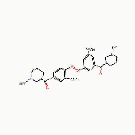 CCCN1CCCC(C(=O)c2cc(OC)cc(OOc3ccc(C(=O)C4CCCN(CCC)C4)cc3OC)c2)C1